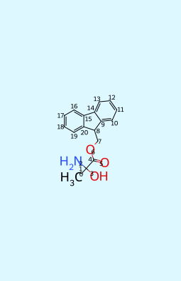 CC(N)(O)C(=O)OCC1c2ccccc2-c2ccccc21